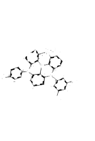 CC(C)(C)c1ccc(N2c3cccc4c3B3c5c2cccc5[Si](C)(C)c2cccc(c23)N4c2cc(C(C)(C)C)cc(C(C)(C)C)c2)cc1